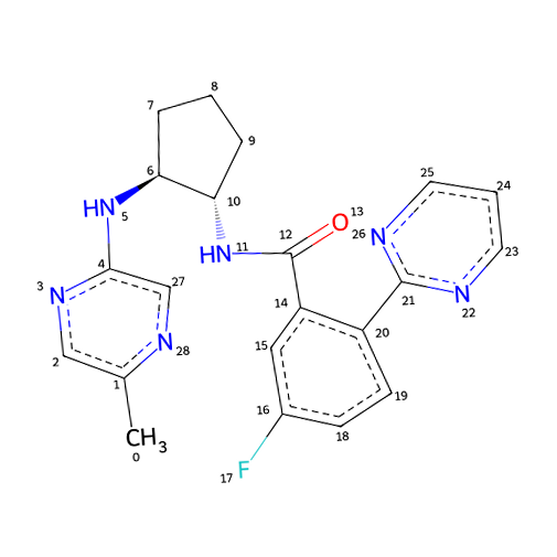 Cc1cnc(N[C@H]2CCC[C@@H]2NC(=O)c2cc(F)ccc2-c2ncccn2)cn1